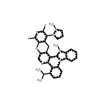 CC(C)c1cccc2c1c1ncc3c(c1c1n2c2ccccc2[n+]1C)Cc1c(c(F)nc(F)c1-n1ccc[n+]1C)O3